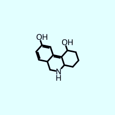 OC1=CC2=C3C(O)CCCC3NCC2C=C1